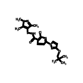 Cc1nn(C)c(C)c1SNC(=O)c1ccc(-n2ccc(OCC(C)(C)C(F)(F)F)n2)nc1Cl